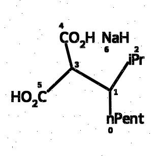 CCCCCC(C(C)C)C(C(=O)O)C(=O)O.[NaH]